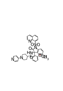 COc1ccccc1C1(NC(=O)C2CCN(c3ccncc3)CC2)C(=O)N(S(=O)(=O)c2cccc3cccnc23)c2ccc(Cl)cc21